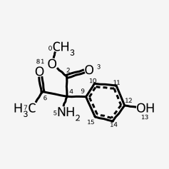 COC(=O)C(N)(C(C)=O)c1ccc(O)cc1